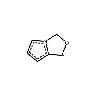 [CH]1OCn2cccc21